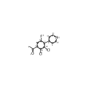 CC(=O)c1cc(F)c(-c2ccncc2)c(Cl)c1Cl